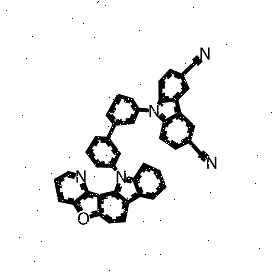 N#Cc1ccc2c(c1)c1cc(C#N)ccc1n2-c1cccc(-c2cccc(-n3c4ccccc4c4ccc5oc6cccnc6c5c43)c2)c1